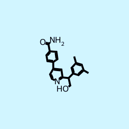 Cc1cc(C)cc(C(CO)c2cc(-c3ccc(C(N)=O)cc3)ccn2)c1